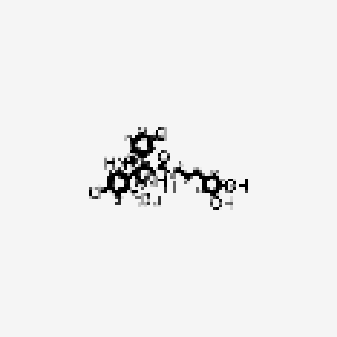 CC(C)(C)C[C@H]1N[C@@H](C(=O)NCCCC2C[C@H](O)[C@@H](O)C2)[C@H](c2cccc(Cl)c2)[C@@]12C(=O)Nc1cc(Cl)c(F)cc12